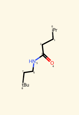 CC(C)CCC(=O)NCCC(C)(C)C